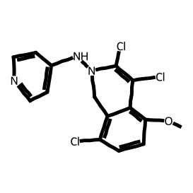 COc1ccc(Cl)c2c1C(Cl)=C(Cl)N(Nc1ccncc1)C2